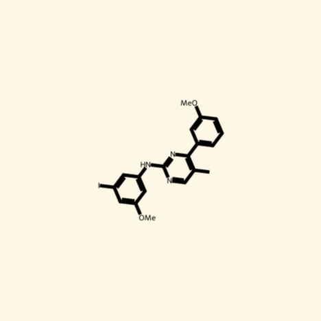 COc1cc(I)cc(Nc2ncc(C)c(-c3cccc(OC)c3)n2)c1